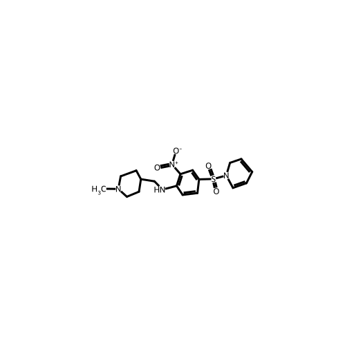 CN1CCC(CNc2ccc(S(=O)(=O)N3C=CC=CC3)cc2[N+](=O)[O-])CC1